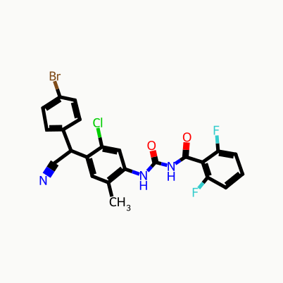 Cc1cc(C(C#N)c2ccc(Br)cc2)c(Cl)cc1NC(=O)NC(=O)c1c(F)cccc1F